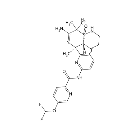 CC1(C)C(N)=N[C@](C)(c2nc(NC(=O)c3ccc(OC(F)F)cn3)ccc2F)[C@H]2CCCN[SH]21=O